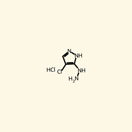 Cl.NNc1[nH]ncc1Cl